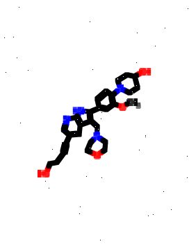 COc1cc(-c2[nH]c3ncc(C#CCCO)cc3c2CN2CCOCC2)ccc1N1CCC(O)CC1